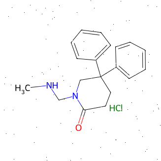 CNCN1CC(c2ccccc2)(c2ccccc2)CCC1=O.Cl